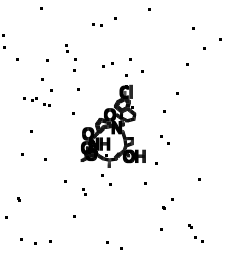 CC(C)C[C@H]1C[C@H](C)/C=C/C(O)C2CCC2CN2C[C@@]3(CCCc4cc(Cl)ccc43)COc3ccc(cc32)C(=O)NS1(=O)=O